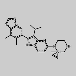 Cc1c(-c2[nH]c3ccc(N4CCNC[SH]45(C)C=C5)nc3c2C(C)C)cn2ncnc2c1C